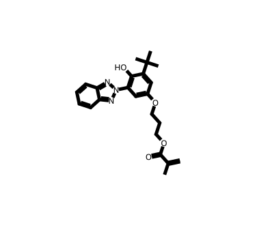 C=C(C)C(=O)OCCCOc1cc(-n2nc3ccccc3n2)c(O)c(C(C)(C)C)c1